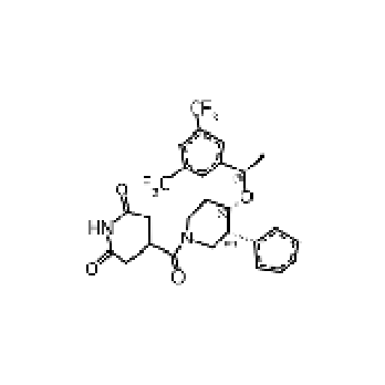 C[C@@H](O[C@H]1CCN(C(=O)C2CC(=O)NC(=O)C2)C[C@H]1c1ccccc1)c1cc(C(F)(F)F)cc(C(F)(F)F)c1